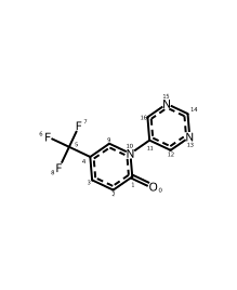 O=c1ccc(C(F)(F)F)cn1-c1cncnc1